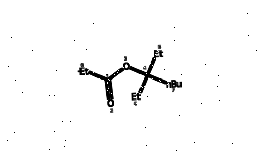 C[CH]C(=O)OC(CC)(CC)CCCC